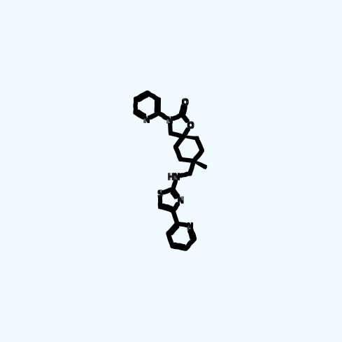 C[C@]1(CNc2nc(-c3ccccn3)cs2)CC[C@@]2(CC1)CN(c1ccccn1)C(=O)O2